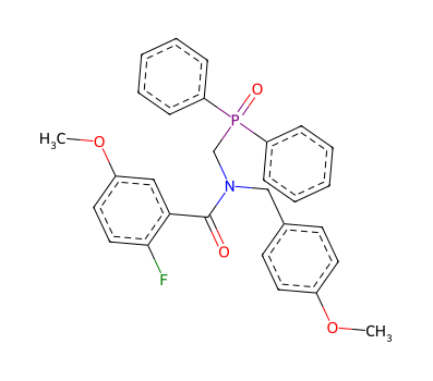 COc1ccc(CN(CP(=O)(c2ccccc2)c2ccccc2)C(=O)c2cc(OC)ccc2F)cc1